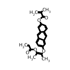 C=CC(=O)OC(C)=C(C)Oc1ccc2cc3cc(OC(=O)C(=C)C)ccc3cc2c1